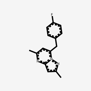 Cc1cc(Cc2ccc(F)cc2)n2nc(C)cc2n1